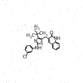 CC(C)(C)c1nc(Nc2cccc(Cl)c2)sc1Cc1cc2ccccc2[nH]c1=O